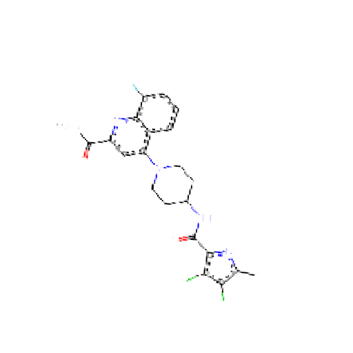 COC(=O)c1cc(N2CCC(NC(=O)c3[nH]c(C)c(Cl)c3Cl)CC2)c2cccc(F)c2n1